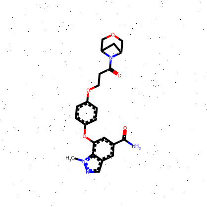 Cn1ncc2cc(C(N)=O)cc(Oc3ccc(OCCC(=O)N4C5COCC4C5)cc3)c21